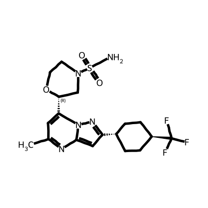 Cc1cc([C@H]2CN(S(N)(=O)=O)CCO2)n2nc([C@H]3CC[C@H](C(F)(F)F)CC3)cc2n1